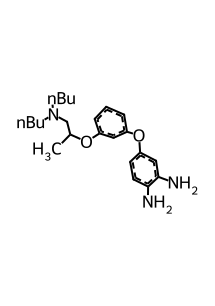 CCCCN(CCCC)CC(C)Oc1cccc(Oc2ccc(N)c(N)c2)c1